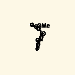 COc1cc(/C=C/C(=O)N2CCN(CC(=O)N3CCN(C4CCC4)CC3)CC2)ccc1OCc1ccccc1